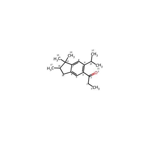 CCC(=O)c1cc2c(cc1C(C)C)C(C)(C)C(C)C2